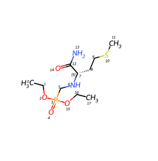 CCOP(=O)(CN[C@@H](CCSC)C(N)=O)OCC